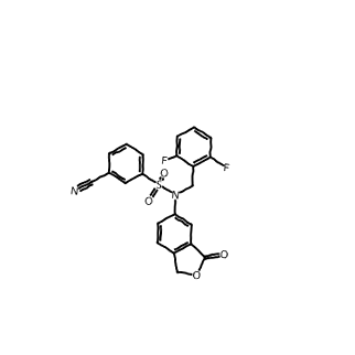 N#Cc1cccc(S(=O)(=O)N(Cc2c(F)cccc2F)c2ccc3c(c2)C(=O)OC3)c1